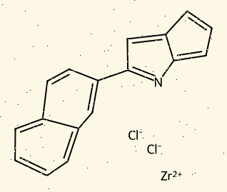 C1=CC2=CC(c3ccc4ccccc4c3)=NC2=C1.[Cl-].[Cl-].[Zr+2]